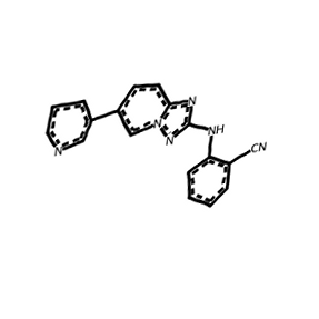 N#Cc1ccccc1Nc1nc2ccc(-c3cccnc3)cn2n1